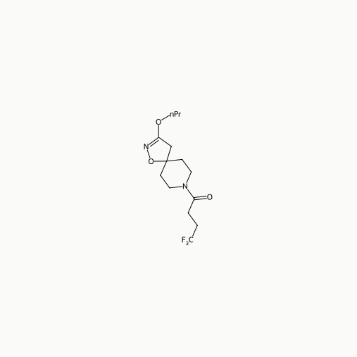 CCCOC1=NOC2(CCN(C(=O)CCC(F)(F)F)CC2)C1